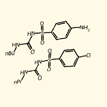 CCCCNC(=O)NS(=O)(=O)c1ccc(N)cc1.CCCNC(=O)NS(=O)(=O)c1ccc(Cl)cc1